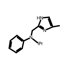 Cc1c[nH]c(CN(c2ccccc2)C(C)C)n1